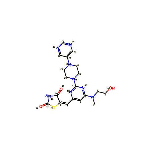 CN(CCO)c1cc(/C=C2/SC(=O)NC2=O)nc(N2CCN(c3cncnc3)CC2)n1